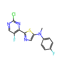 CN(c1ccc(F)cc1)c1cnc(-c2nc(Cl)ncc2F)s1